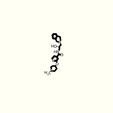 CN1CCC(Oc2cc(C(=O)NC[C@H](O)CN3CCc4ccccc4C3)ccn2)CC1